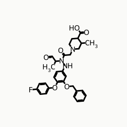 CC1CN(CC(=O)N(Nc2ccc(Oc3ccc(F)cc3)c(OCc3ccccc3)c2)C(C)C=O)CCC1C(=O)O